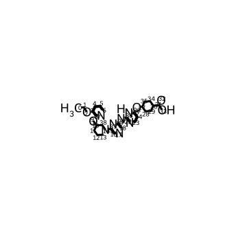 CCOc1cccnc1OC1CCCN(c2cncc(Nc3nccc(OC4CCC(C(=O)O)CC4)n3)n2)C1